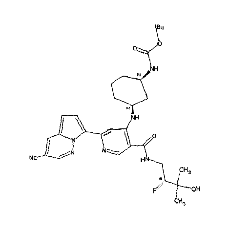 CC(C)(C)OC(=O)N[C@@H]1CCC[C@H](Nc2cc(-c3ccc4cc(C#N)cnn34)ncc2C(=O)NC[C@@H](F)C(C)(C)O)C1